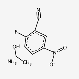 CCO.N.N#Cc1cc([N+](=O)[O-])ccc1F